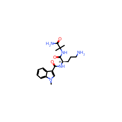 Cn1cc(C(=O)N[C@H](CCCN)C(=O)NC(C)(C)C(N)=O)c2ccccc21